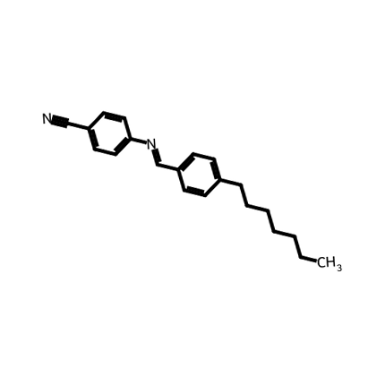 CCCCCCCc1ccc(C=Nc2ccc(C#N)cc2)cc1